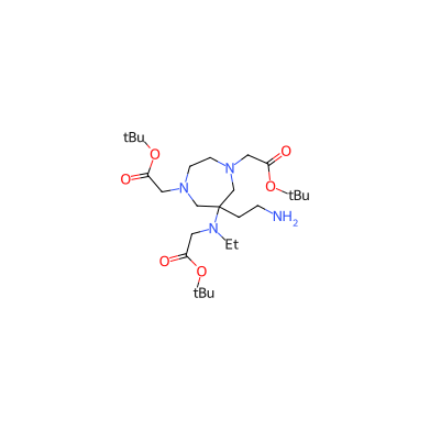 CCN(CC(=O)OC(C)(C)C)C1(CCN)CN(CC(=O)OC(C)(C)C)CCN(CC(=O)OC(C)(C)C)C1